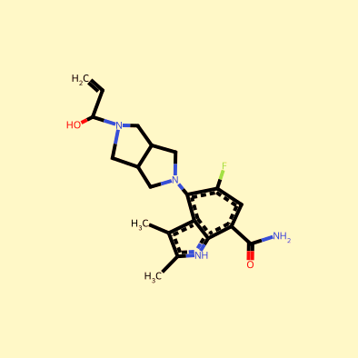 C=CC(O)N1CC2CN(c3c(F)cc(C(N)=O)c4[nH]c(C)c(C)c34)CC2C1